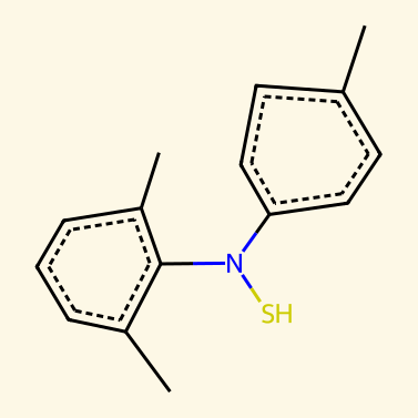 Cc1ccc(N(S)c2c(C)cccc2C)cc1